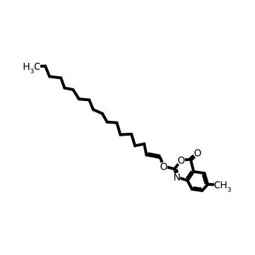 CCCCCCCCCCCCCCCCC=COc1nc2ccc(C)cc2c(=O)o1